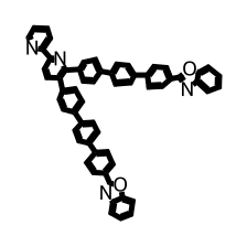 c1ccc(-c2ccc(-c3ccc(-c4ccc(-c5ccc(-c6nc7ccccc7o6)cc5)cc4)cc3)c(-c3ccc(-c4ccc(-c5ccc(-c6nc7ccccc7o6)cc5)cc4)cc3)n2)nc1